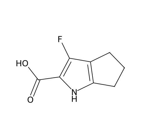 O=C(O)c1[nH]c2c(c1F)CCC2